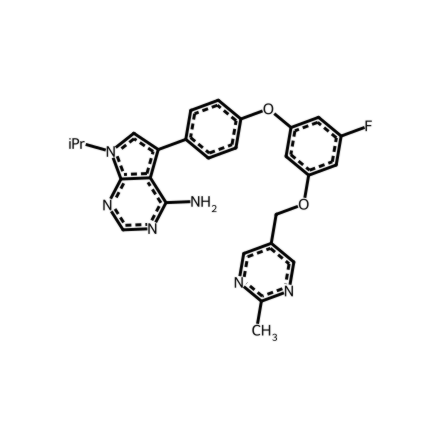 Cc1ncc(COc2cc(F)cc(Oc3ccc(-c4cn(C(C)C)c5ncnc(N)c45)cc3)c2)cn1